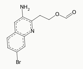 Nc1cc2ccc(Br)cc2nc1CCOC=O